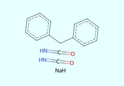 N=C=O.N=C=O.[NaH].c1ccc(Cc2ccccc2)cc1